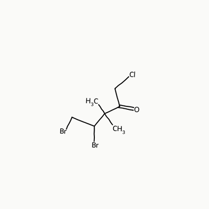 CC(C)(C(=O)CCl)C(Br)CBr